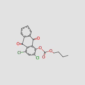 CCCCOC(=O)Oc1c(Cl)cc(Cl)c2c1C(=O)c1ccccc1C2=O